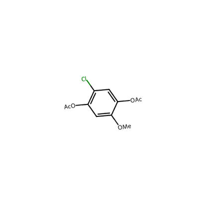 COc1cc(OC(C)=O)c(Cl)cc1OC(C)=O